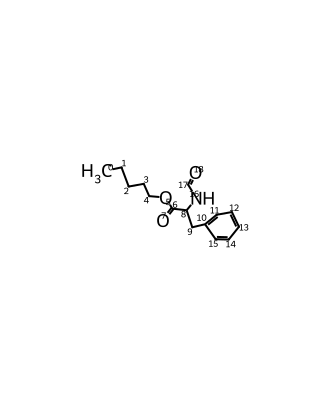 CCCCCOC(=O)C(Cc1ccccc1)NC=O